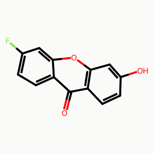 O=c1c2ccc(O)cc2oc2cc(F)ccc12